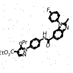 CCCc1c(C(=O)OCC)cnn1-c1ccc(NC(=O)c2ccc3nc(C)n(-c4ccc(F)cc4)c3c2)cc1